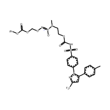 Cc1ccc(-c2cc(C(F)(F)F)nn2-c2ccc(S(=O)(=O)NC(=O)OCCN(C)/[N+]([O-])=N/OCOC(=O)OC(C)C)cc2)cc1